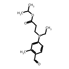 CCN(CCC(=O)OC(C)C)c1ccc(C=O)c(C)c1